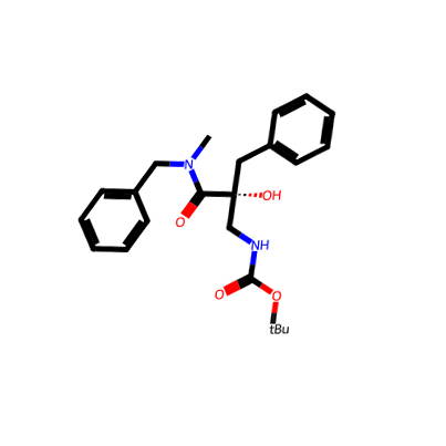 CN(Cc1ccccc1)C(=O)[C@](O)(CNC(=O)OC(C)(C)C)Cc1ccccc1